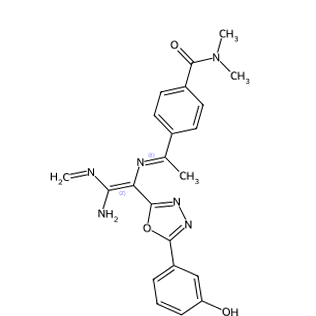 C=N/C(N)=C(\N=C(/C)c1ccc(C(=O)N(C)C)cc1)c1nnc(-c2cccc(O)c2)o1